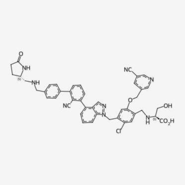 N#Cc1cncc(COc2cc(Cn3ncc4c(-c5cccc(-c6ccc(CNC[C@@H]7CCC(=O)N7)cc6)c5C#N)cccc43)c(Cl)cc2CN[C@@H](CO)C(=O)O)c1